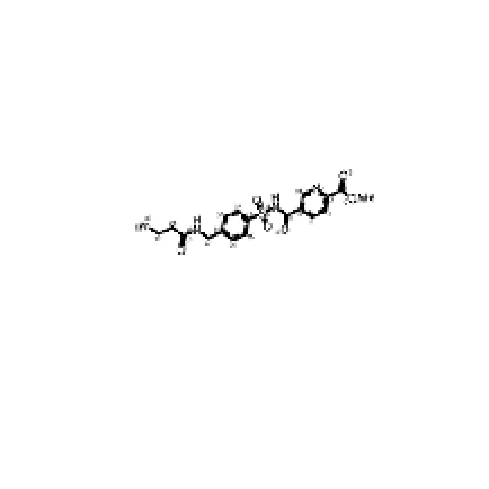 COC(=O)c1ccc(C(=O)NS(=O)(=O)c2ccc(CNC(=O)CCC(C)C)cc2)cn1